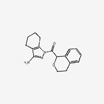 Nc1nn(C(=O)C2OCCc3ccccc32)c2c1CCCC2